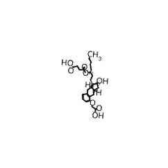 CCCCC[C@@H](CC[C@@H]1[C@H]2Cc3cccc(OCC(=O)O)c3C[C@H]2C[C@H]1O)OC(=O)CCC(=O)O